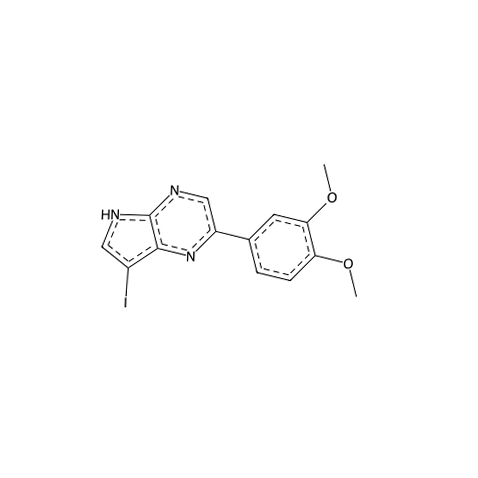 COc1ccc(-c2cnc3[nH]cc(I)c3n2)cc1OC